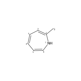 [CH2]C1=CC=CC=CN1